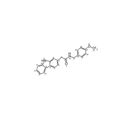 O=C(Cc1ccc2c(c1)[nH]c1ccccc12)NCc1ccc(OC(F)(F)F)cc1